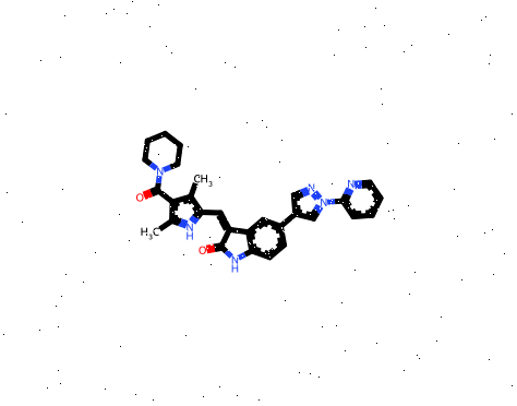 Cc1[nH]c(/C=C2\C(=O)Nc3ccc(-c4cnn(-c5ccccn5)c4)cc32)c(C)c1C(=O)N1CCCCC1